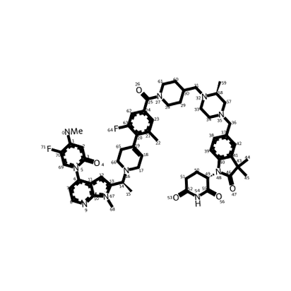 CNc1cc(=O)n(-c2ccnc3c2cc([C@H](C)N2CC=C(c4c(C)cc(C(=O)N5CCC(CN6CCN(Cc7ccc8c(c7)C(C)(C)C(=O)N8[C@H]7CCC(=O)NC7=O)C[C@@H]6C)CC5)cc4F)CC2)n3C)cc1F